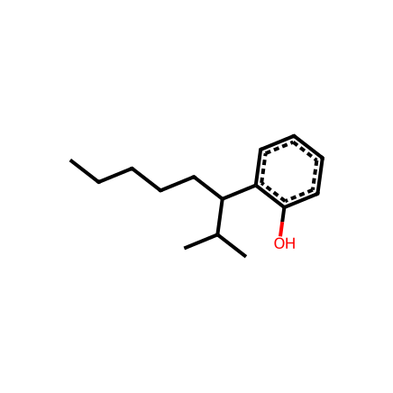 CCCCCC(c1ccccc1O)C(C)C